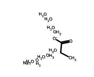 CCC(=O)[O-].O.O.O.O.O.O.O.O.O.[Na+]